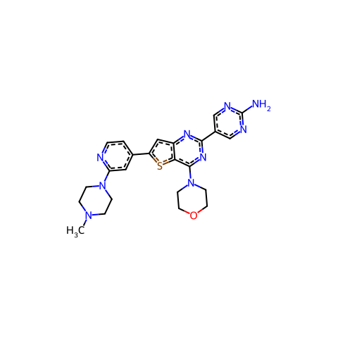 CN1CCN(c2cc(-c3cc4nc(-c5cnc(N)nc5)nc(N5CCOCC5)c4s3)ccn2)CC1